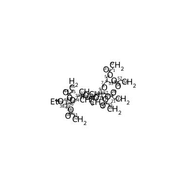 C=CC(=O)OCC(COCC(COC(=O)C=C)(COC(=O)C=C)COC(C)(C)COC(C)(C)CCOCC(COCC)(COC(=O)C=C)COC(=O)C=C)COC(=O)C=C